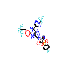 O=C(NCc1cc(-c2cnc(C(F)(F)F)nc2)nc(OCC(F)(F)F)n1)[C@@H]1C2CC(C2)N1S(=O)(=O)c1ccc(F)cc1